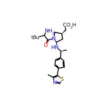 Cc1ncsc1-c1ccc([C@H](C)N[C@@H]2C[C@H](CC(=O)O)CN2C(=O)C(N)C(C)(C)C)cc1